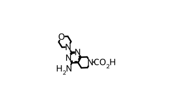 Nc1nc(N2CCOCC2)nc2c1CCN(C(=O)O)C2